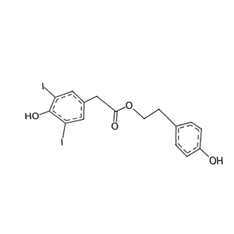 O=C(Cc1cc(I)c(O)c(I)c1)OCCc1ccc(O)cc1